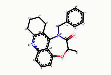 CC1Oc2cccc3nc4c(c(c23)N(Cc2ccccc2)C1=O)CCCC4